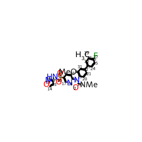 CNC(=O)N(c1ccc(S(=O)(=O)Nc2ccon2)cn1)c1ccc(-c2ccc(F)c(C)c2)cc1OC